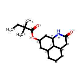 CCC(C)(C)C(=O)OC1CC2CCCC3CC(=O)NC(C1)C32